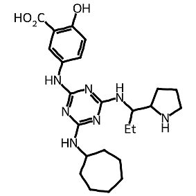 CCC(Nc1nc(Nc2ccc(O)c(C(=O)O)c2)nc(NC2CCCCCC2)n1)C1CCCN1